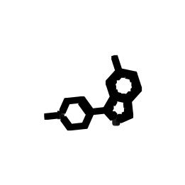 Cc1ccc2coc(C3=CCN(C)CC3)c2c1